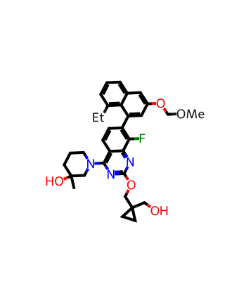 CCc1cccc2cc(OCOC)cc(-c3ccc4c(N5CCCC(C)(O)C5)nc(OCC5(CO)CC5)nc4c3F)c12